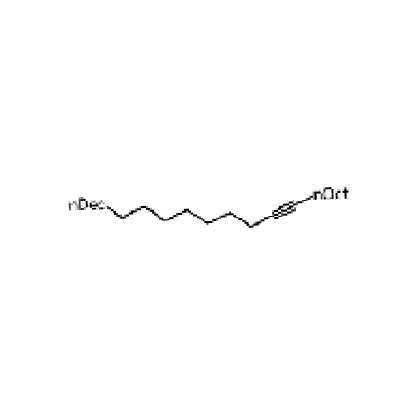 CCCCCCCCC#CCCCCCCCCCCCCCCCCC